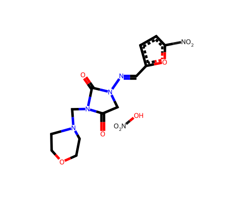 O=C1CN(/N=C/c2ccc([N+](=O)[O-])o2)C(=O)N1CN1CCOCC1.O=[N+]([O-])O